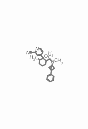 COC1(c2ccnc(C#N)c2)C(C)CCCC1CN(C)C12CC(c3ccccc3)(C1)C2